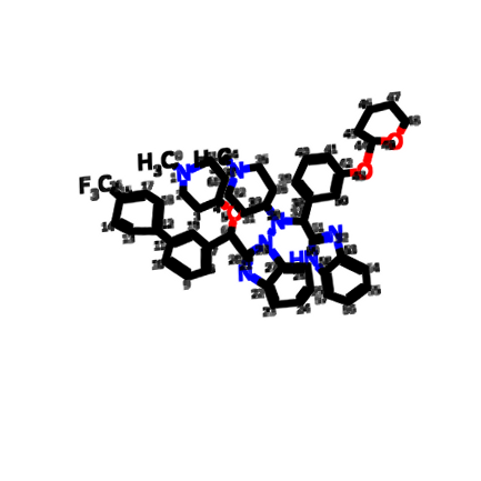 CN1CCC(OC(c2cccc(-c3ccc(C(F)(F)F)cc3)c2)c2nc3ccccc3n2N(C2CCN(C)CC2)C(c2cccc(OC3CCCCO3)c2)c2nc3ccccc3[nH]2)CC1